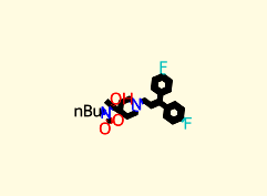 CCCCN1C(=O)OC2(CCN(CC=C(c3ccc(F)cc3)c3ccc(F)cc3)CC2)C1(C)O